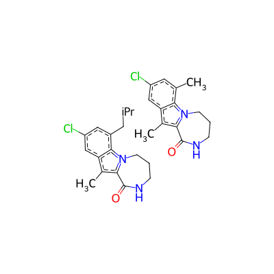 Cc1c2n(c3c(C)cc(Cl)cc13)CCCNC2=O.Cc1c2n(c3c(CC(C)C)cc(Cl)cc13)CCCNC2=O